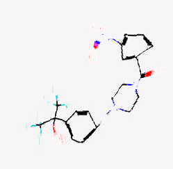 O=C(c1cccc([N+](=O)[O-])c1)N1CCN(Cc2ccc(C(O)(C(F)(F)F)C(F)(F)F)cc2)CC1